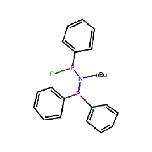 CCCCN(P(Cl)c1ccccc1)P(c1ccccc1)c1ccccc1